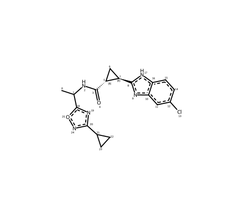 CC(NC(=O)[C@@H]1C[C@H]1c1nc2cc(Cl)ccc2[nH]1)c1nc(C2CC2)no1